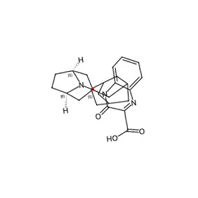 O=C(O)c1nc2ccccc2n([C@@H]2C[C@H]3CC[C@@H](C2)N3C23CC4CC(CC2C4)C3)c1=O